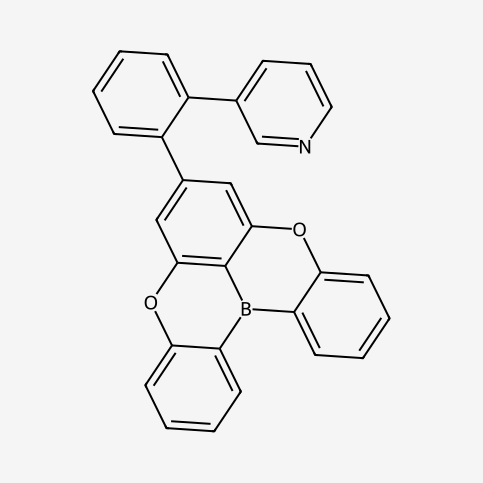 c1cncc(-c2ccccc2-c2cc3c4c(c2)Oc2ccccc2B4c2ccccc2O3)c1